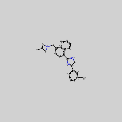 CC1CN(Cc2ccc(C3=NCC(c4cccc(C#N)c4)=N3)c3ccccc23)C1